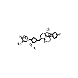 C=CN(/C=C(/C)N)c1ccc(/C=C2\CCN(C)N3C2=NCCC3(C)c2ccc(F)cc2)cc1OC